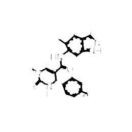 Cc1cc2cn[nH]c2cc1NC(=O)C1=CN(C)C(=O)N[C@H]1c1ccc(F)cc1